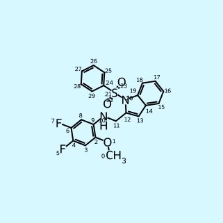 COc1cc(F)c(F)cc1NCc1cc2ccccc2n1S(=O)(=O)c1ccccc1